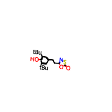 CC(C)(C)c1cc(CCc2nsc(=O)o2)cc(C(C)(C)C)c1O